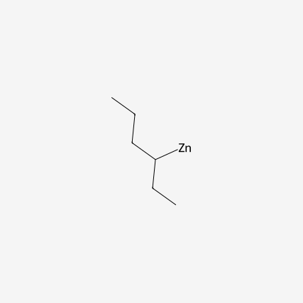 CCC[CH]([Zn])CC